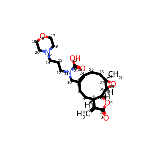 C=C1C(=O)O[C@H]2[C@H]1CC/C(CN(CCCN1CCOCC1)C(=O)O)=C\CC[C@@]1(C)O[C@@H]21